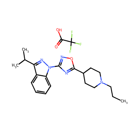 CCCN1CCC(c2nc(-n3nc(C(C)C)c4ccccc43)no2)CC1.O=C(O)C(F)(F)F